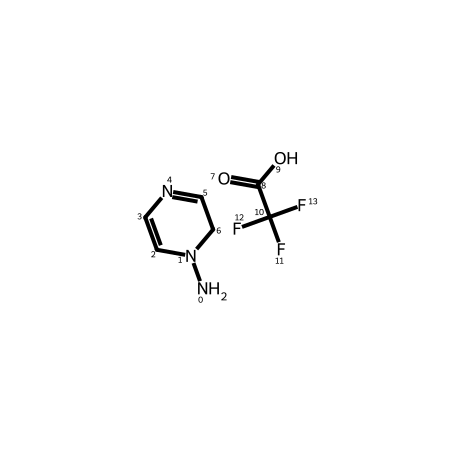 NN1C=CN=CC1.O=C(O)C(F)(F)F